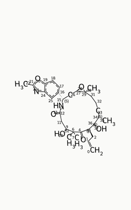 C=CC[C@H]1C(=O)C(C)(C)[C@@H](O)CC(=O)N[C@H](c2ccc3oc(C)nc3c2)CC2OC2(C)CCC[C@H](C)[C@H]1O